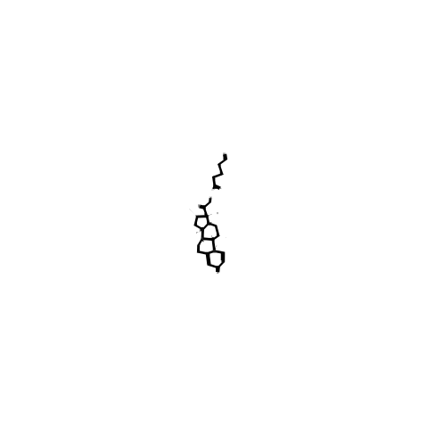 C[C@@H]1C[C@H]2[C@@H]3CCC4=CC(=O)C=C[C@]4(C)[C@@]3(F)[C@@H](O)C[C@]2(C)[C@@]1(O)C(=O)COC(=O)CCCC=S